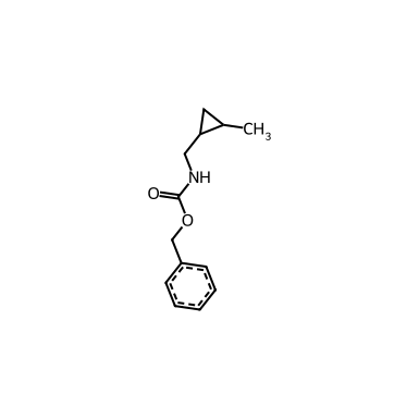 CC1CC1CNC(=O)OCc1ccccc1